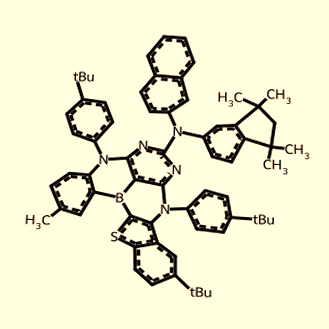 Cc1ccc2c(c1)B1c3sc4ccc(C(C)(C)C)cc4c3N(c3ccc(C(C)(C)C)cc3)c3nc(N(c4ccc5c(c4)C(C)(C)CC5(C)C)c4ccc5ccccc5c4)nc(c31)N2c1ccc(C(C)(C)C)cc1